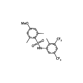 COc1cc(C)c(S(=O)(=O)Nc2cc(C(F)(F)F)cc(C(F)(F)F)c2C)c(C)c1